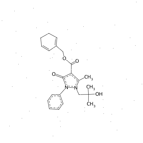 Cc1c(C(=O)OCC2=CCCC=C2)c(=O)n(-c2ccccc2)n1CC(C)(C)O